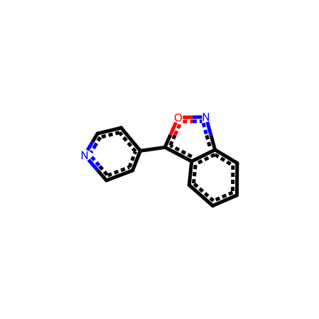 c1ccc2c(-c3ccncc3)onc2c1